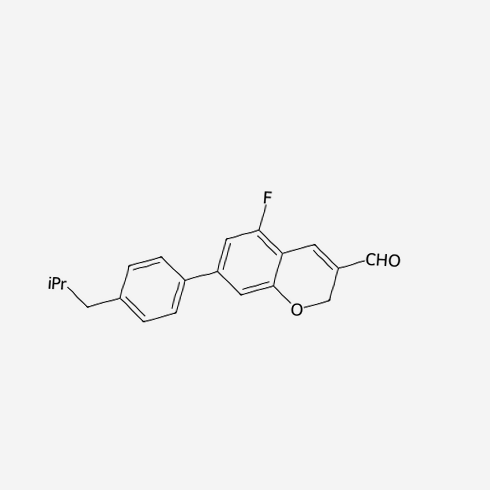 CC(C)Cc1ccc(-c2cc(F)c3c(c2)OCC(C=O)=C3)cc1